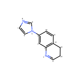 C1=Nc2cc(-n3ccnc3)ccc2CC1